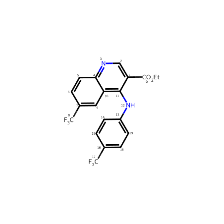 CCOC(=O)c1cnc2ccc(C(F)(F)F)cc2c1Nc1ccc(C(F)(F)F)cc1